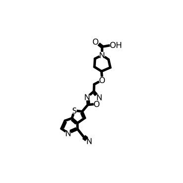 N#Cc1nccc2sc(-c3nc(COC4CCN(C(=O)O)CC4)no3)cc12